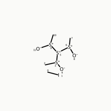 CI.C[S+]([O-])[S+]([S+](C)[O-])[S+](C)[O-]